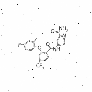 Cc1cc(F)ccc1Oc1cc(C(F)(F)F)ccc1C(=O)Nc1ccnc(C(N)=O)c1